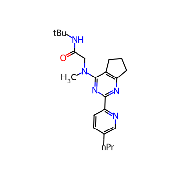 CCCc1ccc(-c2nc3c(c(N(C)CC(=O)NC(C)(C)C)n2)CCC3)nc1